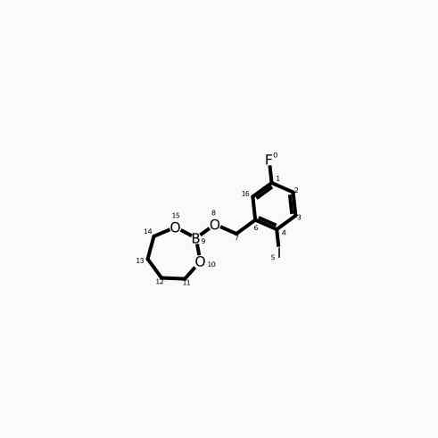 Fc1ccc(I)c(COB2OCCCCO2)c1